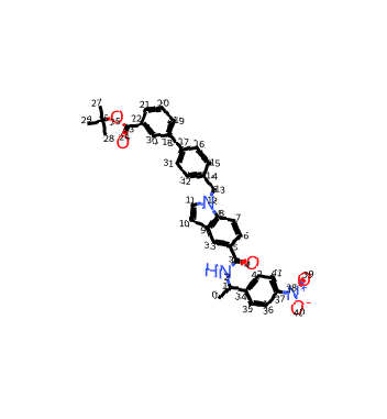 CC(NC(=O)c1ccc2c(ccn2Cc2ccc(-c3cccc(C(=O)OC(C)(C)C)c3)cc2)c1)c1ccc([N+](=O)[O-])cc1